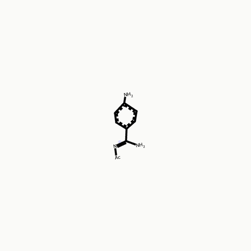 CC(=O)/N=C(\N)c1ccc(N)cc1